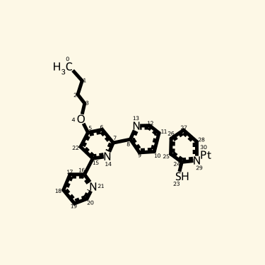 CCCCOc1cc(-c2ccccn2)nc(-c2ccccn2)c1.Sc1ccccn1.[Pt]